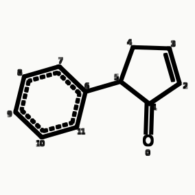 O=C1C=CCC1c1ccccc1